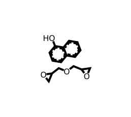 C(OCC1CO1)C1CO1.Oc1cccc2ccccc12